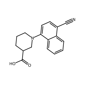 N#Cc1ccc(N2CCCC(C(=O)O)C2)c2ccccc12